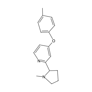 Cc1ccc(Oc2ccnc(C3CCCN3C)c2)cc1